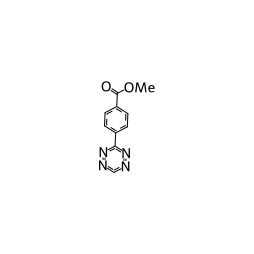 COC(=O)c1ccc(-c2nncnn2)cc1